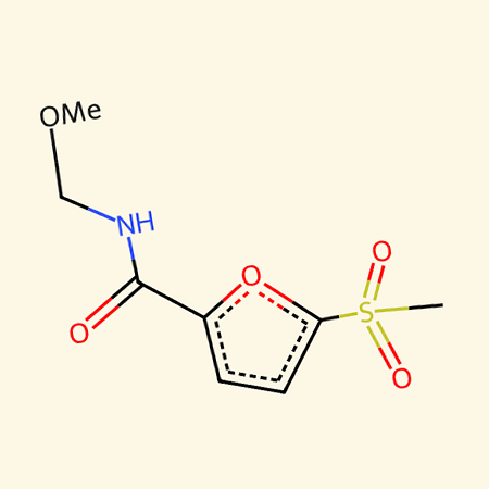 COCNC(=O)c1ccc(S(C)(=O)=O)o1